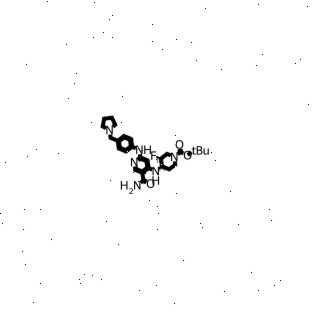 CC(C)(C)OC(=O)N1CC[C@@H](Nc2cc(Nc3ccc(CN4CCCC4)cc3)ncc2C(N)=O)[C@@H](F)C1